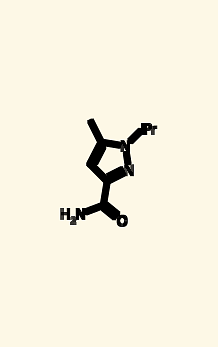 Cc1cc(C(N)=O)nn1C(C)C